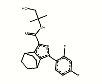 CC(C)(CO)NC(=O)c1nn(-c2ccc(F)cc2F)c2c1C1CCC2CC1